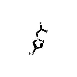 Oc1cnn(CC(F)F)c1